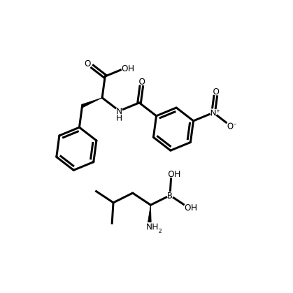 CC(C)C[C@H](N)B(O)O.O=C(N[C@@H](Cc1ccccc1)C(=O)O)c1cccc([N+](=O)[O-])c1